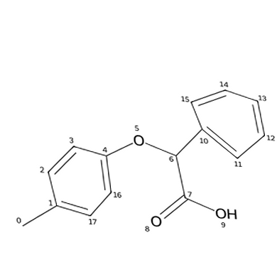 Cc1ccc(OC(C(=O)O)c2ccccc2)cc1